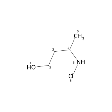 CC(CCO)NCl